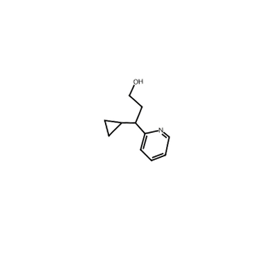 OCCC(c1ccccn1)C1CC1